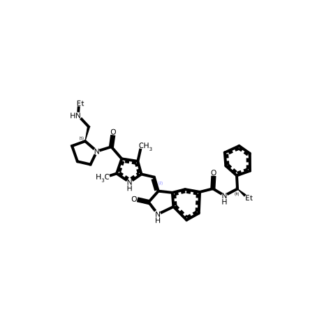 CCNC[C@@H]1CCCN1C(=O)c1c(C)[nH]c(/C=C2\C(=O)Nc3ccc(C(=O)N[C@H](CC)c4ccccc4)cc32)c1C